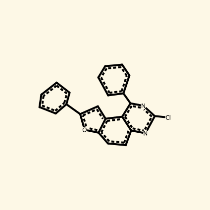 Clc1nc(-c2ccccc2)c2c(ccc3oc(-c4ccccc4)cc32)n1